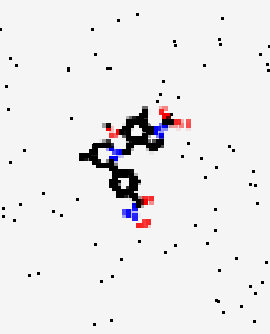 COc1cc(C)c2c(ccn2C(=O)O)c1CN1CCC(C)CC1c1ccc(C(=O)NO)cc1